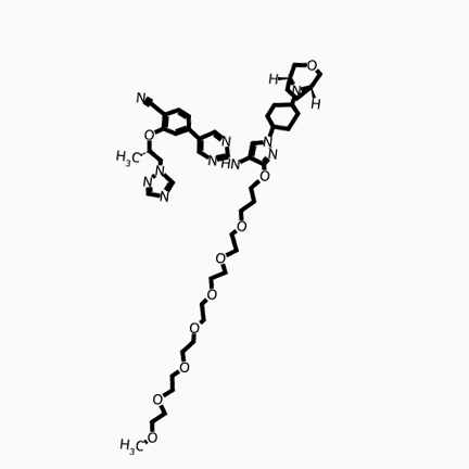 COCCOCCOCCOCCOCCOCCOCCCOc1nn(C2CCC(N3[C@@H]4CC[C@H]3COC4)CC2)cc1Nc1ncc(-c2ccc(C#N)c(O[C@@H](C)Cn3cncn3)c2)cn1